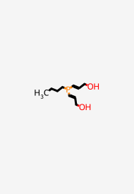 CCCCP(C=CCO)C=CCO